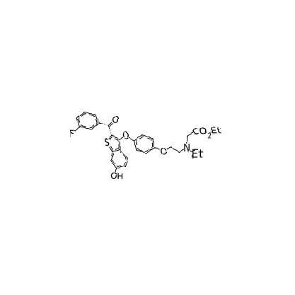 CCOC(=O)CN(CC)CCOc1ccc(Oc2c(C(=O)c3cccc(F)c3)sc3cc(O)ccc23)cc1